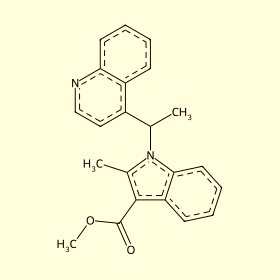 COC(=O)c1c(C)n(C(C)c2ccnc3ccccc23)c2ccccc12